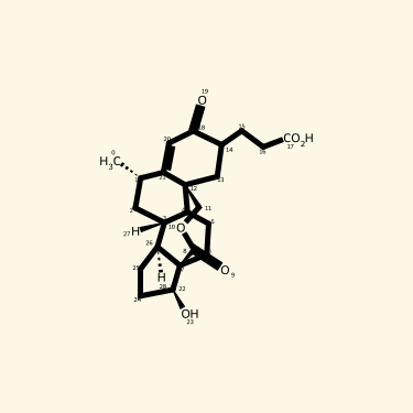 C[C@H]1C[C@@H]2C3CC[C@]4(C(=O)OC[C@@]35CC(CCC(=O)O)C(=O)C=C15)[C@@H](O)CC[C@@H]24